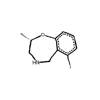 C[C@H]1CNCc2c(I)cccc2O1